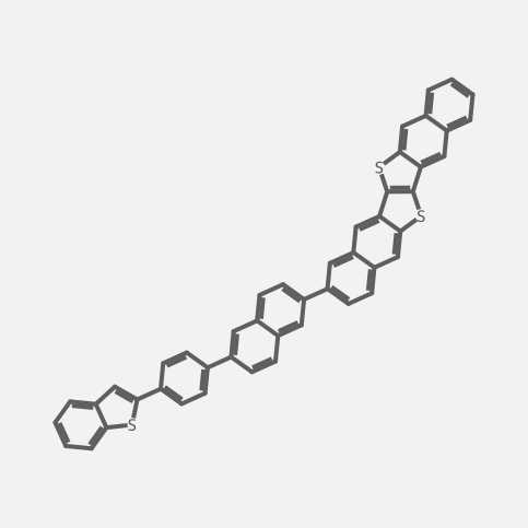 c1ccc2cc3c(cc2c1)sc1c2cc4cc(-c5ccc6cc(-c7ccc(-c8cc9ccccc9s8)cc7)ccc6c5)ccc4cc2sc31